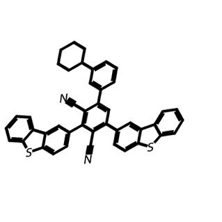 N#Cc1c(-c2cccc(C3CCCCC3)c2)cc(-c2ccc3sc4ccccc4c3c2)c(C#N)c1-c1ccc2sc3ccccc3c2c1